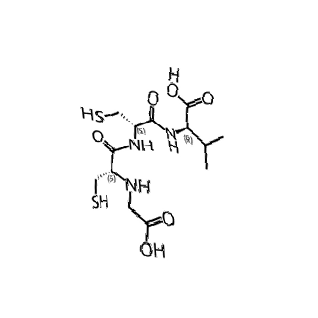 CC(C)[C@@H](NC(=O)[C@@H](CS)NC(=O)[C@@H](CS)NCC(=O)O)C(=O)O